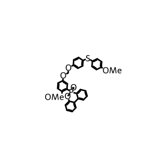 COc1ccc(Sc2ccc(OCOc3ccc(OC)c(P4(=O)Oc5ccccc5-c5ccccc54)c3)cc2)cc1